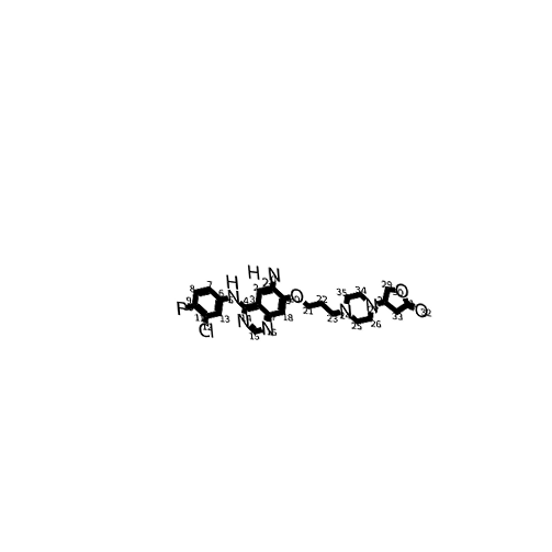 Nc1cc2c(Nc3ccc(F)c(Cl)c3)ncnc2cc1OCCCN1CCN(C2COC(=O)C2)CC1